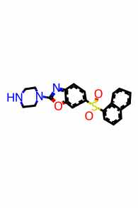 O=S(=O)(c1ccc2nc(N3CCNCC3)oc2c1)c1cccc2ccccc12